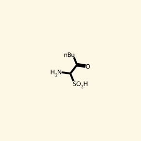 CCCCC(=O)C(N)S(=O)(=O)O